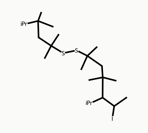 CC(C)C(C(C)I)C(C)(C)CC(C)(C)SSC(C)(C)CC(C)(C)C(C)C